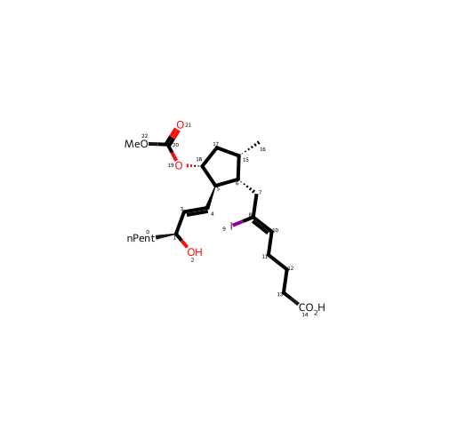 CCCCC[C@H](O)/C=C/[C@@H]1[C@@H](C/C(I)=C/CCCC(=O)O)[C@@H](C)C[C@H]1OC(=O)OC